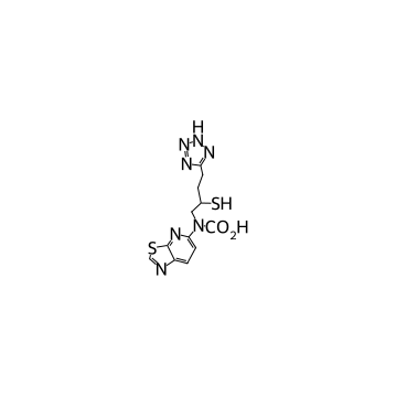 O=C(O)N(CC(S)CCc1nn[nH]n1)c1ccc2ncsc2n1